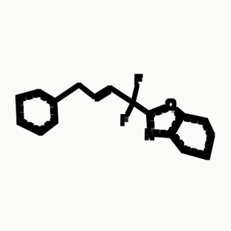 FC(F)(/C=C/Cc1ccccc1)c1nc2ccccc2o1